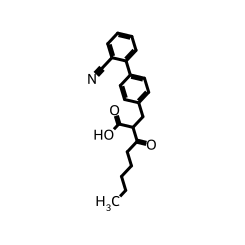 CCCCCC(=O)C(Cc1ccc(-c2ccccc2C#N)cc1)C(=O)O